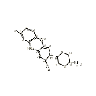 Cc1ccc2c(c1)Nc1nc(=O)n(C3CCC(N)CC3)cc1O2